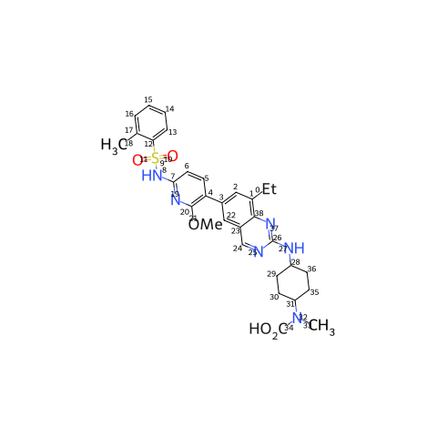 CCc1cc(-c2ccc(NS(=O)(=O)c3ccccc3C)nc2OC)cc2cnc(NC3CCC(N(C)C(=O)O)CC3)nc12